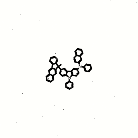 CC1(c2ccc3c(c2)c2cc(N(c4ccccc4)c4ccc5ccccc5c4)ccc2n3-c2ccccc2)c2ccccc2-c2cc3ccccc3cc21